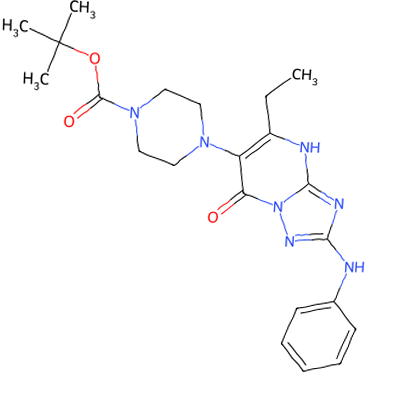 CCc1[nH]c2nc(Nc3ccccc3)nn2c(=O)c1N1CCN(C(=O)OC(C)(C)C)CC1